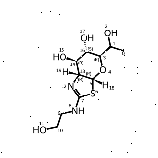 CC(O)[C@H]1O[C@@H]2SC(NCCO)=N[C@@H]2[C@@H](O)[C@@H]1O